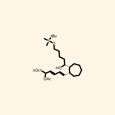 CCCCCCCCC(/C=C/C=C/[C@H]1CCCCC[C@H]1C(O)CCCCO[Si](C)(C)C(C)(C)C)OC(C)=O